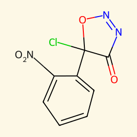 O=C1N=NOC1(Cl)c1ccccc1[N+](=O)[O-]